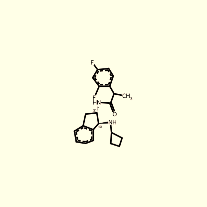 CC(C(=O)N[C@H]1Cc2ccccc2[C@@H]1NC1CCC1)c1ccc(F)cc1F